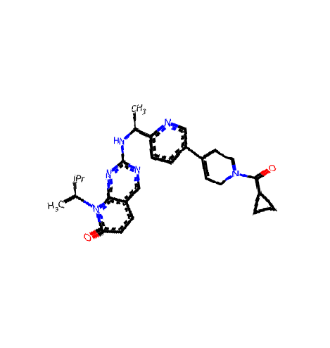 CC(C)[C@H](C)n1c(=O)ccc2cnc(N[C@@H](C)c3ccc(C4=CCN(C(=O)C5CC5)CC4)cn3)nc21